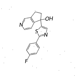 OC1(c2cnc(-c3ccc(F)cc3)s2)CCc2cnccc21